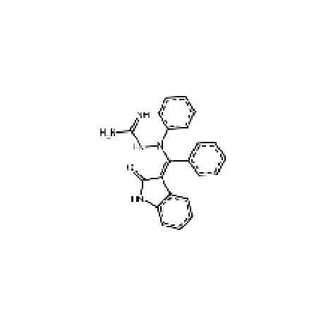 N=C(N)NN(/C(=C1\C(=O)Nc2ccccc21)c1ccccc1)c1ccccc1